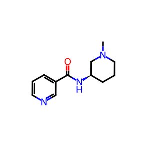 CN1CCC[C@@H](NC(=O)c2cccnc2)C1